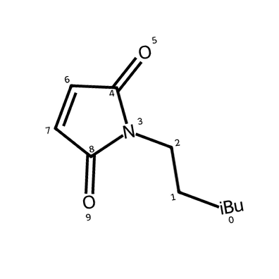 CCC(C)CCN1C(=O)C=CC1=O